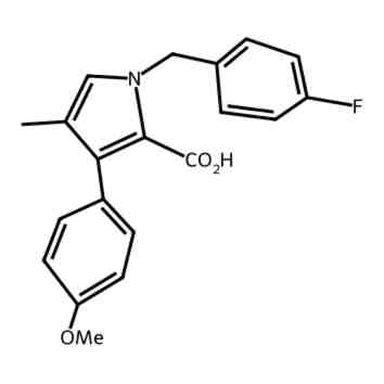 COc1ccc(-c2c(C)cn(Cc3ccc(F)cc3)c2C(=O)O)cc1